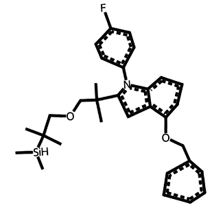 C[SiH](C)C(C)(C)COCC(C)(C)c1cc2c(OCc3ccccc3)cccc2n1-c1ccc(F)cc1